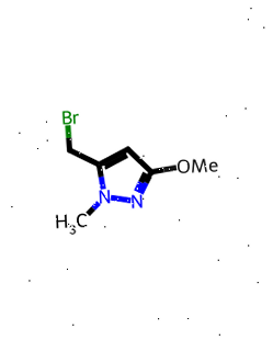 COc1cc(CBr)n(C)n1